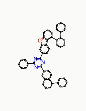 c1ccc(-c2nc(-c3ccc4c(-c5ccccc5)cccc4c3)nc(-c3ccc4c(c3)oc3cccc(-c5ccccc5-c5ccccc5)c34)n2)cc1